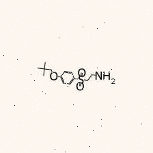 CC(C)(C)COc1ccc(S(=O)(=O)CCN)cc1